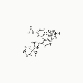 COC1(c2noc(-c3cncc(C(O)(c4ccc(C5CC5)cc4)C4(C)CNC4)c3)n2)CCOCC1